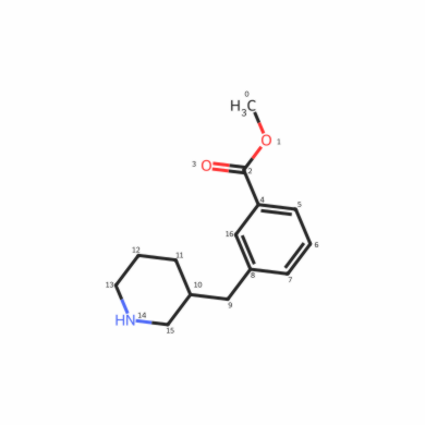 COC(=O)c1cccc(CC2CCCNC2)c1